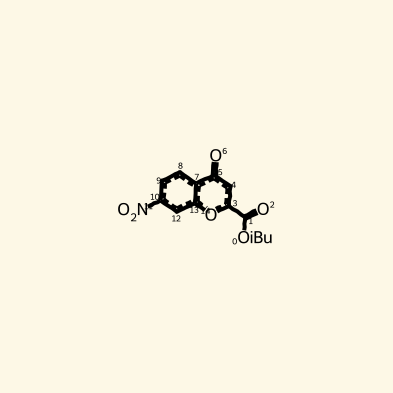 CC(C)COC(=O)c1cc(=O)c2ccc([N+](=O)[O-])cc2o1